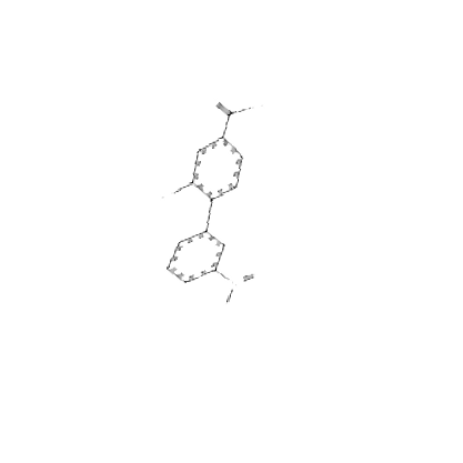 O=C(O)c1ccc(-c2cccc([N+](=O)[O-])c2)c(O)c1